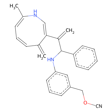 C=C1/C=C\C=C(\C)N/C=C\1C(=C)C(Nc1cccc(COC#N)c1)c1ccccc1